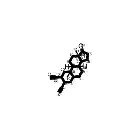 C#CC1CC2CC[C@@H]3[C@@H](CC[C@]4(C)C(=O)CC[C@@H]34)[C@@]2(C)CC1C#C